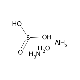 N.O.O=S(O)O.[AlH3]